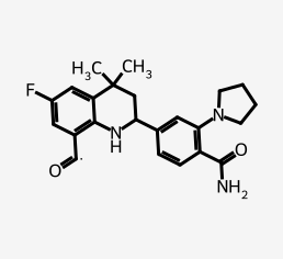 CC1(C)CC(c2ccc(C(N)=O)c(N3CCCC3)c2)Nc2c([C]=O)cc(F)cc21